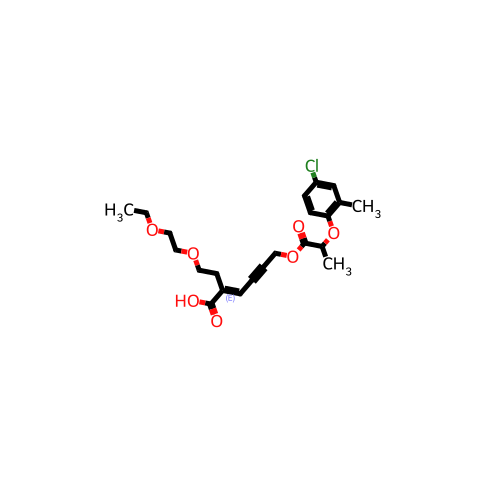 CCOCCOCC/C(=C\C#CCOC(=O)C(C)Oc1ccc(Cl)cc1C)C(=O)O